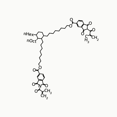 C=C(C)C(=O)C1C(=O)c2ccc(C(=O)OCCCCCCCCC3CCC(CCCCCC)C(CCCCCCCC)C3CCCCCCCCOC(=O)c3ccc4c(c3)C(=O)N(C(=O)C(=C)C)C4=O)cc2C1=O